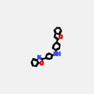 c1ccc2oc(-c3ccc(Nc4ccc(-c5nc6ccccc6o5)cc4)cc3)cc2c1